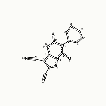 N#Cc1cn2c(=O)n(-c3ccccc3)c(=O)[nH]c2c1C#N